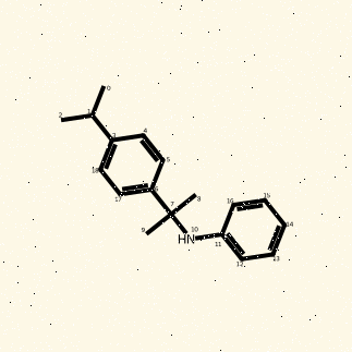 CC(C)c1ccc(C(C)(C)Nc2ccccc2)cc1